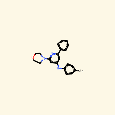 CC(=O)c1ccc(Nc2cc(-c3ccccc3)nc(N3CCOCC3)c2)cc1